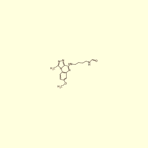 COc1ccc2c(c1)nc(NCCCCNC=O)c1nnc(C)n12